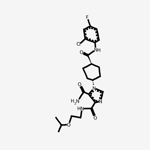 CC(C)OCCNC(=O)c1ncn([C@H]2CC[C@H](C(=O)Nc3ccc(F)cc3Cl)CC2)c1C(N)=O